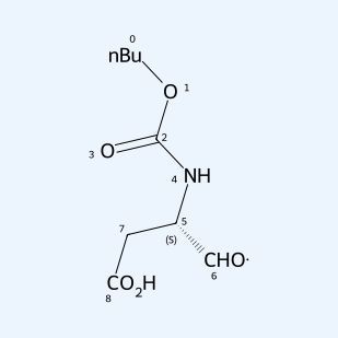 CCCCOC(=O)N[C@H]([C]=O)CC(=O)O